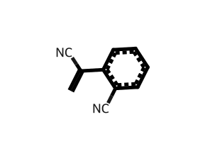 C=C(C#N)c1ccccc1C#N